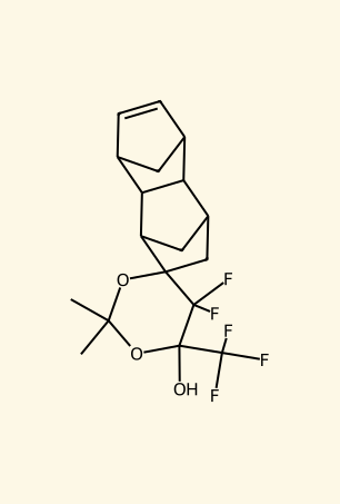 CC1(C)OC2(CC3CC2C2C4C=CC(C4)C32)C(F)(F)C(O)(C(F)(F)F)O1